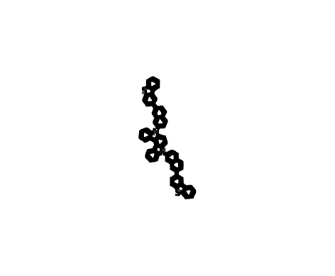 c1ccc2c(c1)sc1ccc(-c3ccc4ccc(-n5c6ccccc6c6c7c8ccccc8n(-c8ccc9ccc(-c%10ccc%11sc%12ccccc%12c%11c%10)cc9c8)c7ccc65)cc4c3)cc12